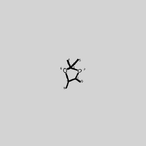 CC1OC(C)(C)OC1C